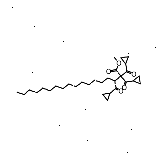 CCCCCCCCCCCCCCCC(C(=O)C1CC1)C(C(=O)OC)(C(=O)C1CC1)C(=O)C1CC1